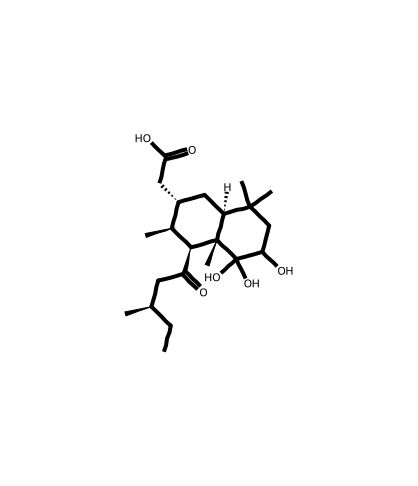 CC[C@@H](C)CC(=O)[C@H]1[C@@H](C)[C@H](CC(=O)O)C[C@H]2C(C)(C)CC(O)C(O)(O)[C@]12C